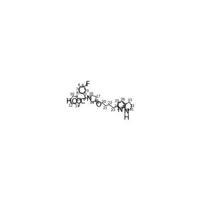 O=C(O)[C@H](c1cc(F)ccc1[C@H]1CCCCO1)N1CC[C@@H](OCCCCc2ccc3c(n2)NCCC3)C1